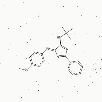 COc1ccc(/N=C2\N=C(c3ccccc3)N=C2NC(C)(C)C)cc1